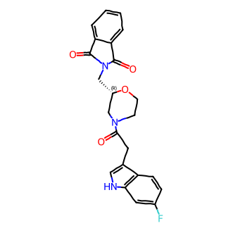 O=C(Cc1c[nH]c2cc(F)ccc12)N1CCO[C@@H](CN2C(=O)c3ccccc3C2=O)C1